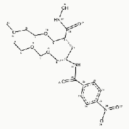 CCOCOC[C@H](C[C@H](COCCOC)C(=O)NO)NC(=O)c1ccc([N+](=O)[O-])cc1